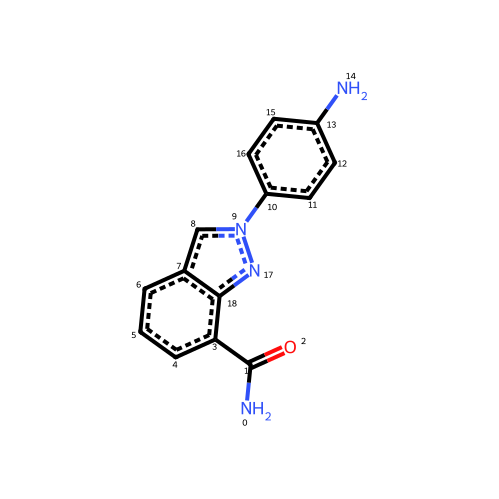 NC(=O)c1cccc2cn(-c3ccc(N)cc3)nc12